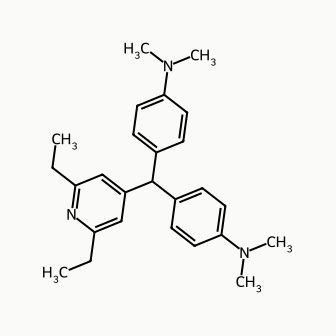 CCc1cc(C(c2ccc(N(C)C)cc2)c2ccc(N(C)C)cc2)cc(CC)n1